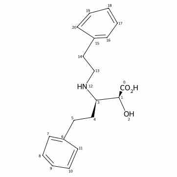 O=C(O)[C@@H](O)[C@@H](CCc1ccccc1)NCCc1ccccc1